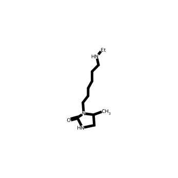 CCNCCCCCCN1C(=O)NCC1C